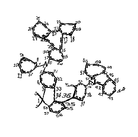 CC1(C)c2cc(N(c3ccccc3)c3ccc4c5ccccc5c5ccccc5c4c3)ccc2-c2c(-c3ccc(-n4c5ccccc5c5ccccc54)cc3)cccc21